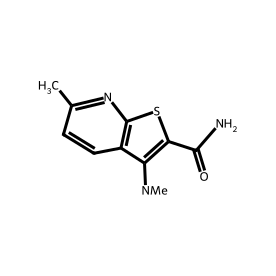 CNc1c(C(N)=O)sc2nc(C)ccc12